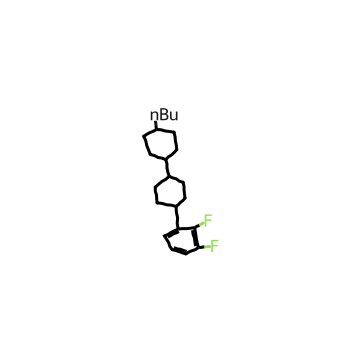 CCCCC1CCC(C2CCC(c3cccc(F)c3F)CC2)CC1